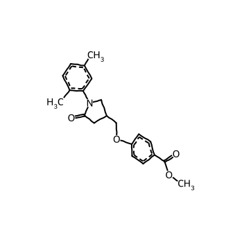 COC(=O)c1ccc(OCC2CC(=O)N(c3cc(C)ccc3C)C2)cc1